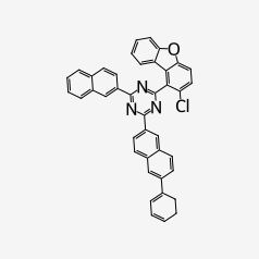 Clc1ccc2oc3ccccc3c2c1-c1nc(-c2ccc3ccccc3c2)nc(-c2ccc3cc(C4=CC=CCC4)ccc3c2)n1